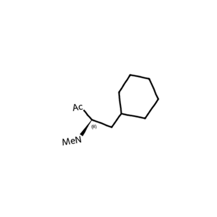 CN[C@H](CC1CCCCC1)C(C)=O